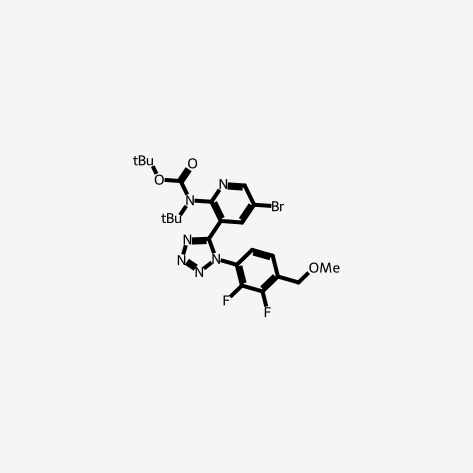 COCc1ccc(-n2nnnc2-c2cc(Br)cnc2N(C(=O)OC(C)(C)C)C(C)(C)C)c(F)c1F